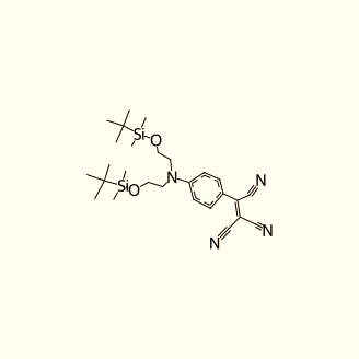 CC(C)(C)[Si](C)(C)OCCN(CCO[Si](C)(C)C(C)(C)C)c1ccc(C(C#N)=C(C#N)C#N)cc1